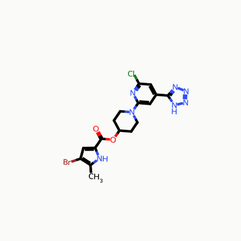 Cc1[nH]c(C(=O)OC2CCN(c3cc(-c4nnn[nH]4)cc(Cl)n3)CC2)cc1Br